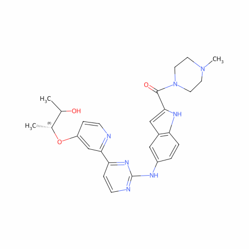 CC(O)[C@@H](C)Oc1ccnc(-c2ccnc(Nc3ccc4[nH]c(C(=O)N5CCN(C)CC5)cc4c3)n2)c1